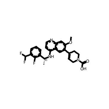 COc1cc2nccc(N[C@H](C)c3cccc(C(F)F)c3F)c2cc1C1=CCN(C(=O)O)CC1